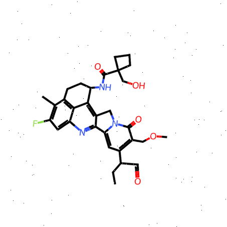 CCC(C=O)c1cc2n(c(=O)c1COC)Cc1c-2nc2cc(F)c(C)c3c2c1C(NC(=O)C1(CO)CCC1)CC3